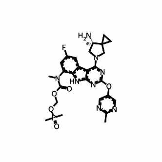 Cc1ncc(Oc2nc(N3C[C@H](N)C4(CC4)C3)c3c(n2)[nH]c2c(N(C)C(=O)OCOP(C)(C)=O)cc(F)cc23)cn1